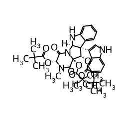 CN1C(=O)[C@@]2(OC(=O)C(C)(C)C)[C@@H](OC(=O)OC(C)(C)C)[C@]3(c4c[nH]c5ccccc45)c4ccccc4N[C@@H]3N2C(=O)[C@H]1OC(=O)C(C)(C)C